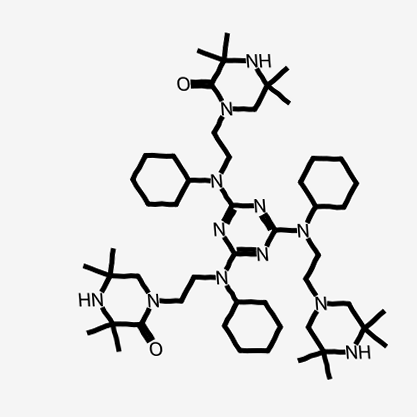 CC1(C)CN(CCN(c2nc(N(CCN3CC(C)(C)NC(C)(C)C3=O)C3CCCCC3)nc(N(CCN3CC(C)(C)NC(C)(C)C3=O)C3CCCCC3)n2)C2CCCCC2)CC(C)(C)N1